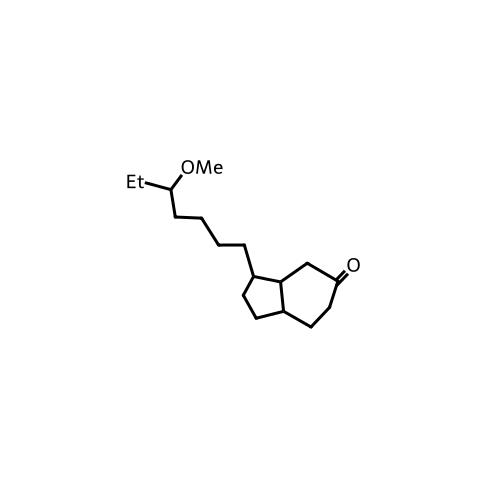 CCC(CCCCC1CCC2CCC(=O)CC12)OC